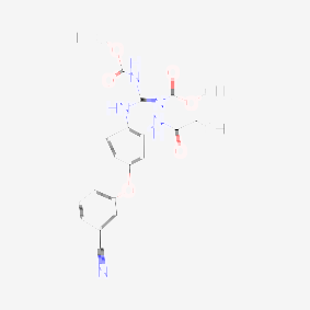 CCC(=O)Nc1cc(Oc2cccc(C#N)c2)ccc1NC(=NC(=O)OC)NC(=O)OC